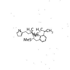 C=C(CCC1=CCC=N1)NC(Cc1cccc(C(=C)C)c1C)SC